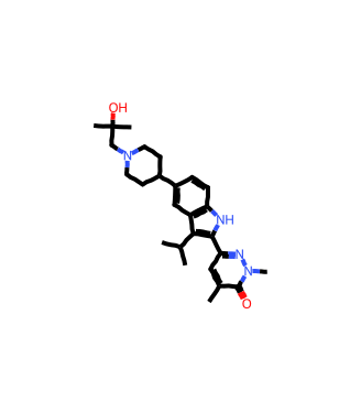 Cc1cc(-c2[nH]c3ccc(C4CCN(CC(C)(C)O)CC4)cc3c2C(C)C)nn(C)c1=O